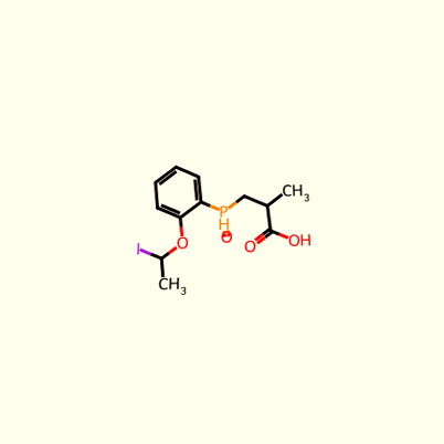 CC(I)Oc1ccccc1[PH](=O)CC(C)C(=O)O